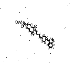 COC(=O)N1CCN2C(=O)N(CCCCN3CCN(c4nsc5ccccc45)CC3)C(=O)CC2C1